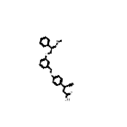 CO/N=C(/COc1cccc(COc2ccc(C(C#N)CC(=O)O)cc2)c1)c1ccccc1